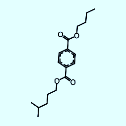 CCCCOC(=O)c1ccc(C(=O)OCCCC(C)C)cc1